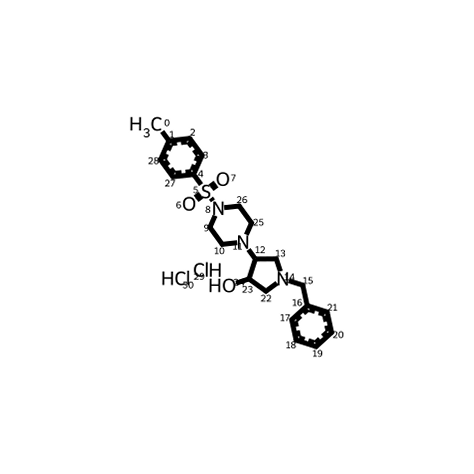 Cc1ccc(S(=O)(=O)N2CCN(C3CN(Cc4ccccc4)CC3O)CC2)cc1.Cl.Cl